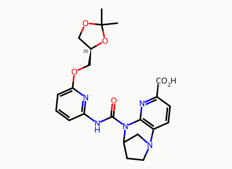 CC1(C)OC[C@H](COc2cccc(NC(=O)N3c4nc(C(=O)O)ccc4N4CCC3C4)n2)O1